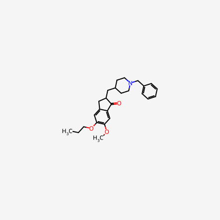 CCCOc1cc2c(cc1OC)C(=O)C(CC1CCN(Cc3ccccc3)CC1)C2